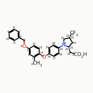 Cc1cc(OCc2ccccc2)ccc1Oc1ccc(N2C[C@@H](C(F)(F)F)C[C@H]2CC(=O)O)cc1